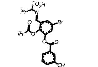 Cc1cccc(C(=O)Oc2cc(Br)cc(C=NC(C(=O)O)C(C)C)c2OC(=O)C(C)C)c1